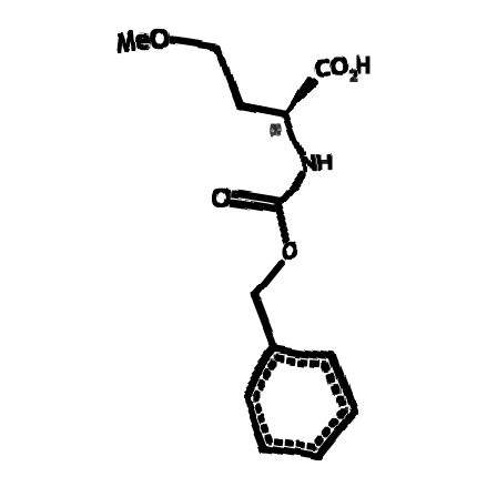 COCC[C@H](NC(=O)OCc1ccccc1)C(=O)O